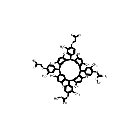 C=C(OO)Oc1ccc(C2c3cc(c(O)cc3O)C(c3ccc(OCC(=O)O)c(C)c3)c3cc(c(O)cc3O)C(c3ccc(OCC(=O)O)c(C)c3)c3cc(c(O)cc3O)C(c3ccc(OC(=C)OO)c(C)c3)c3cc2c(O)cc3O)cc1C